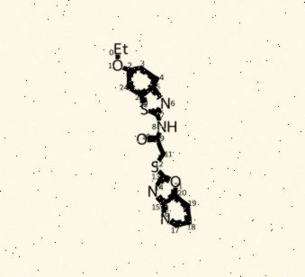 CCOc1ccc2nc(NC(=O)CSc3nc4ncccc4o3)sc2c1